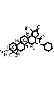 CC(=O)O[C@H]1CC[C@]2(C)[C@H]3CC[C@@H]4C5=C(C(C)C)C(=O)C[C@]5(C(=O)NC5CCCCC5)CC[C@@]4(C)[C@]3(C)CC[C@H]2C1(C)C